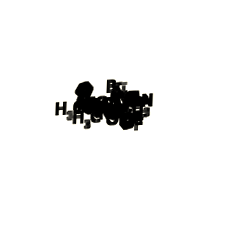 Cc1c(-c2ccnn2-c2ccc(C#N)cc2)n(C(=O)NC(C)C(=O)N2CC[N+](C)(Cc3ccccc3)CC2)c(=O)n1-c1cccc(C(F)(F)F)c1.[Br-]